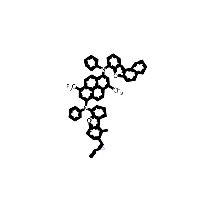 C=C/C=C\c1ccc2oc3c(N(c4ccccc4)c4cc(C(F)(F)F)c5ccc6c(N(c7ccccc7)c7cccc8c7oc7ccc9ccccc9c78)cc(C(F)(F)F)c7ccc4c5c67)cccc3c2c1C